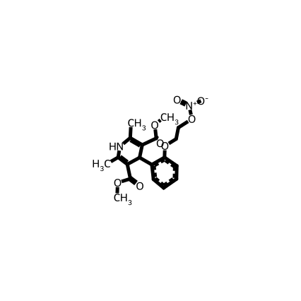 COC(=O)C1=C(C)NC(C)=C(C(=O)OC)C1c1ccccc1OCCO[N+](=O)[O-]